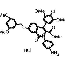 COC(=O)c1c(-c2cc(OC)c(Cl)c(OC)c2)c2ccc(OCc3cc(OC)cc(OC)c3)cc2c(=O)n1-c1ccc(N)cc1.Cl